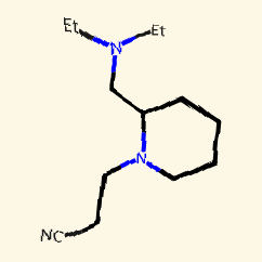 CCN(CC)CC1CCCCN1CCC#N